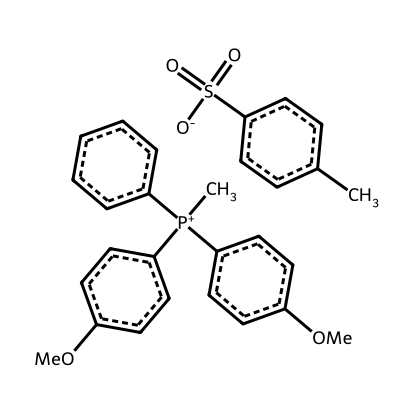 COc1ccc([P+](C)(c2ccccc2)c2ccc(OC)cc2)cc1.Cc1ccc(S(=O)(=O)[O-])cc1